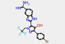 N=C(N)c1ccc2[nH]c(-c3c(O)c(-c4ccc(Br)cc4)nn3CC(F)(F)F)nc2c1